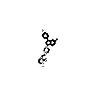 Fc1ccc(C2CC(N3CCN(CCN4CCCNC4=S)CC3)c3ccc(F)cc32)cc1